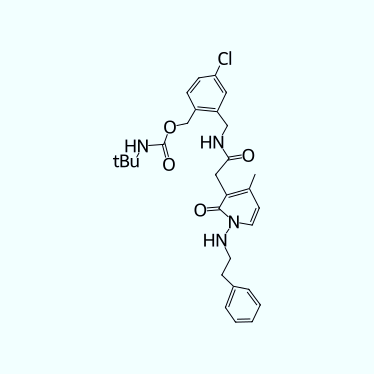 Cc1ccn(NCCc2ccccc2)c(=O)c1CC(=O)NCc1cc(Cl)ccc1COC(=O)NC(C)(C)C